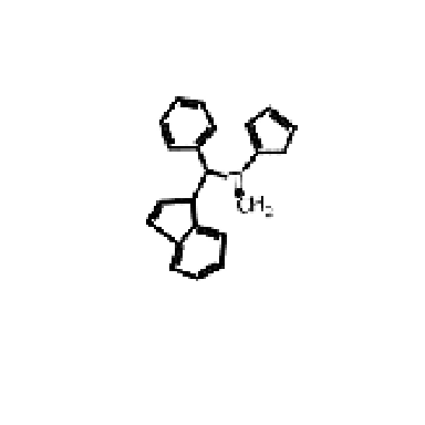 [CH2]=[Ti]([C]1=CC=CC1)[CH](c1ccccc1)C1C=Cc2ccccc21